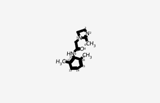 CC1=NCCN1CC(=O)Nc1c(C)cccc1C